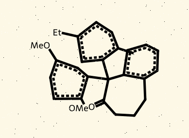 CCc1ccc(C)c(C2(c3cc(OC)ccc3OC)C(=O)CCCc3ccccc32)c1